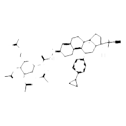 C#CC(F)(F)[C@]1(O)CC[C@H]2[C@@H]3CCC4=C/C(=N/NC(=O)O[C@@H]5O[C@H](COC(C)=O)[C@H](OC(C)=O)[C@H](OC(C)=O)[C@H]5OC(C)=O)CCC4=C3[C@H](c3ccc(C4CC4)cc3)C[C@@]21C